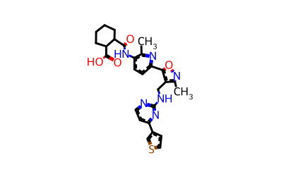 Cc1nc(-c2onc(C)c2CNc2nccc(-c3ccsc3)n2)ccc1NC(=O)C1CCCCC1C(=O)O